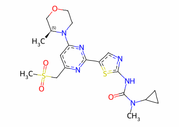 C[C@H]1COCCN1c1cc(CS(C)(=O)=O)nc(-c2cnc(NC(=O)N(C)C3CC3)s2)n1